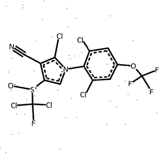 N#Cc1c([S+]([O-])C(F)(Cl)Cl)cn(-c2c(Cl)cc(OC(F)(F)F)cc2Cl)c1Cl